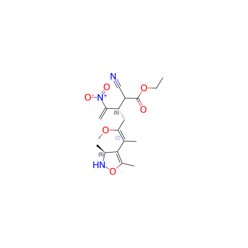 C=C([C@@H](C/C(OC)=C(\C)C1=C(C)ON[C@H]1C)C(C#N)C(=O)OCC)[N+](=O)[O-]